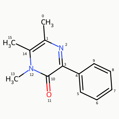 Cc1nc(-c2ccccc2)c(=O)n(C)c1C